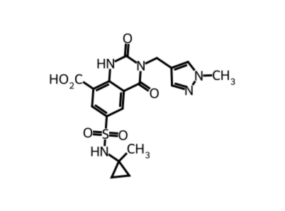 Cn1cc(Cn2c(=O)[nH]c3c(C(=O)O)cc(S(=O)(=O)NC4(C)CC4)cc3c2=O)cn1